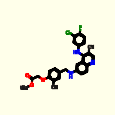 CC(C)(C)OC(=O)COc1ccc(CNc2ccc3ncc(C#N)c(Nc4ccc(F)c(Cl)c4)c3c2)cc1C#N